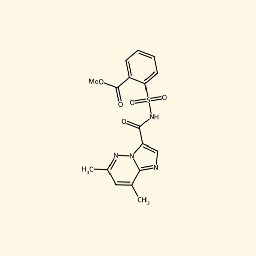 COC(=O)c1ccccc1S(=O)(=O)NC(=O)c1cnc2c(C)cc(C)nn12